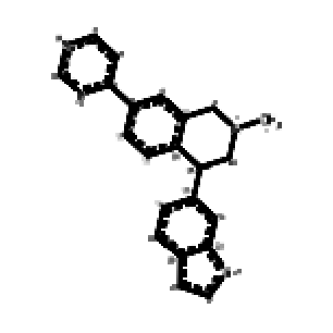 CN1Cc2cc(-c3ccncn3)ccc2C(c2ccc3ccsc3c2)C1